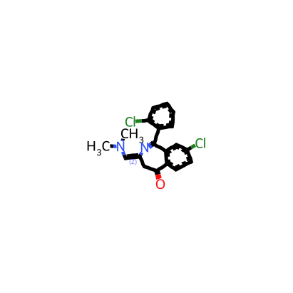 CN(C)/C=C1/CC(=O)c2ccc(Cl)cc2C(c2ccccc2Cl)=N1